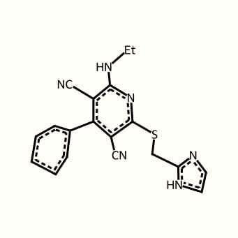 CCNc1nc(SCc2ncc[nH]2)c(C#N)c(-c2ccccc2)c1C#N